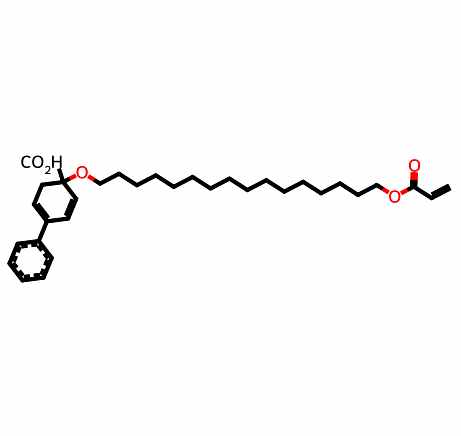 C=CC(=O)OCCCCCCCCCCCCCCCCOC1(C(=O)O)C=CC(c2ccccc2)=CC1